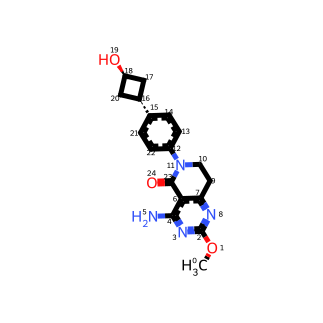 COc1nc(N)c2c(n1)CCN(c1ccc([C@H]3C[C@H](O)C3)cc1)C2=O